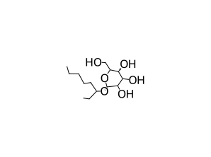 CCCCCC(CC)O[C@@H]1OC(CO)[C@@H](O)C(O)C1O